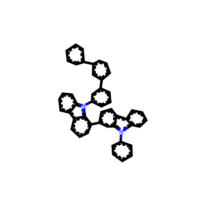 c1ccc(-c2cccc(-c3cccc(-n4c5ccccc5c5cccc(-c6ccc7c8ccccc8n(-c8ccccc8)c7c6)c54)c3)c2)cc1